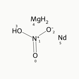 O=[N+]([O-])O.[MgH2].[Nd]